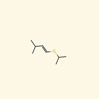 CC(C)C=CSC(C)C